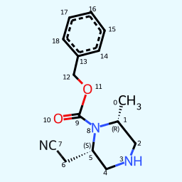 C[C@@H]1CNC[C@H](CC#N)N1C(=O)OCc1ccccc1